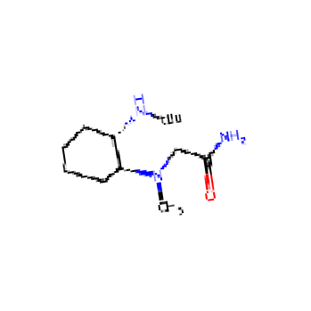 CN(CC(N)=O)[C@H]1CCCC[C@@H]1NC(C)(C)C